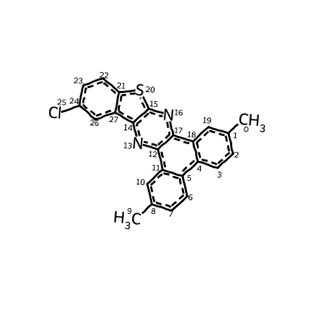 Cc1ccc2c3ccc(C)cc3c3nc4c(nc3c2c1)sc1ccc(Cl)cc14